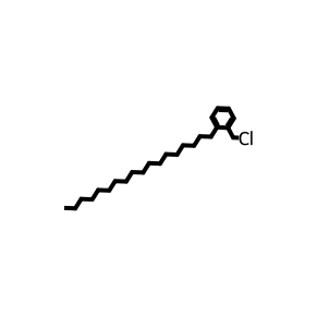 CCCCCCCCCCCCCCCCCCc1ccccc1CCl